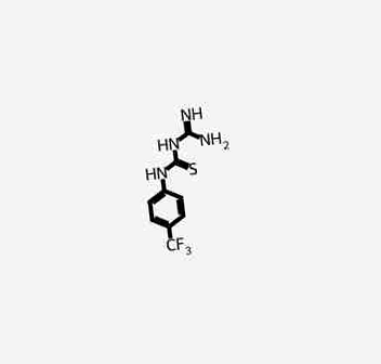 N=C(N)NC(=S)Nc1ccc(C(F)(F)F)cc1